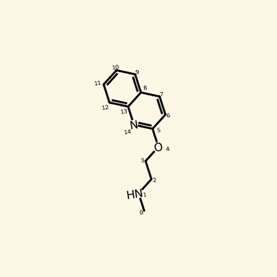 CNCCOc1ccc2ccccc2n1